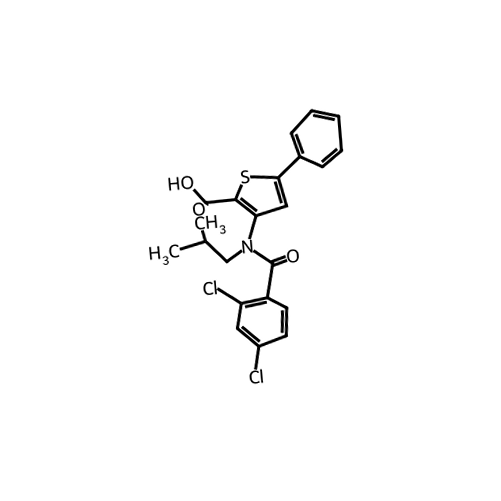 CC(C)CN(C(=O)c1ccc(Cl)cc1Cl)c1cc(-c2ccccc2)sc1C(=O)O